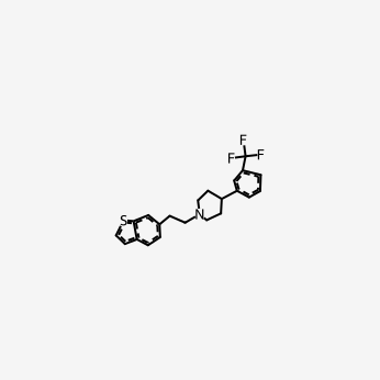 FC(F)(F)c1cccc(C2CCN(CCc3ccc4ccsc4c3)CC2)c1